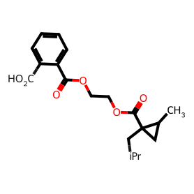 CC(C)CC1(C(=O)OCCOC(=O)c2ccccc2C(=O)O)CC1C